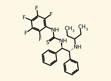 CCC(CC)N[C@H](c1ccccc1)[C@H](NC(=S)Nc1c(F)c(F)c(F)c(F)c1F)c1ccccc1